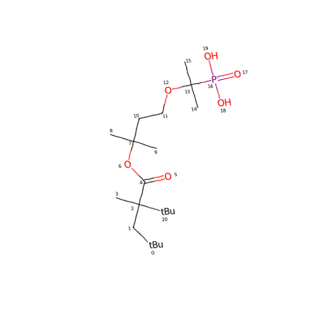 CC(C)(C)CC(C)(C(=O)OC(C)(C)CCOC(C)(C)P(=O)(O)O)C(C)(C)C